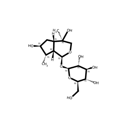 C[C@H]1[C@H]2[C@H](O[C@@H]3O[C@H](CO)[C@@H](O)[C@H](O)[C@H]3O)OC[C@](C)(O)[C@H]2C[C@@H]1O